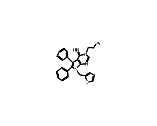 CC(C)CCn1cnc2c(c(-c3ccccc3)c(-c3ccccc3)n2Cc2ccco2)c1=N